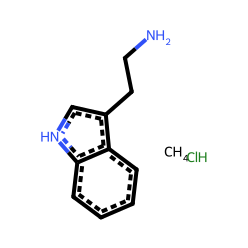 C.Cl.NCCc1c[nH]c2ccccc12